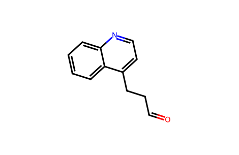 O=CCCc1ccnc2ccccc12